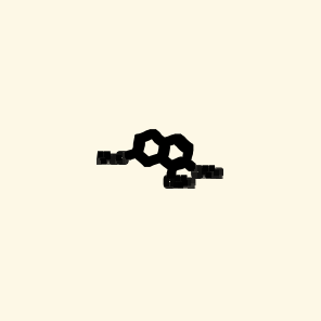 COC1=CCc2ccc(OC)c(OC)c2C1